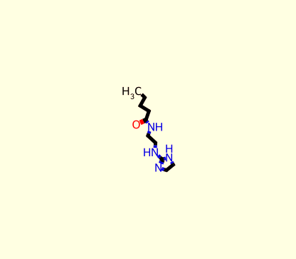 CCCCC(=O)NCCNC1=NCCN1